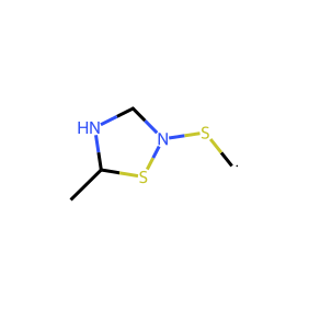 [CH2]SN1CNC(C)S1